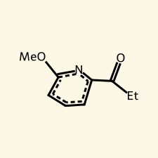 CCC(=O)c1cccc(OC)n1